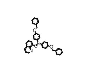 c1ccc(COc2ccc(B(Oc3cccc4cccnc34)c3ccc(OCc4ccccc4)cc3)cc2)cc1